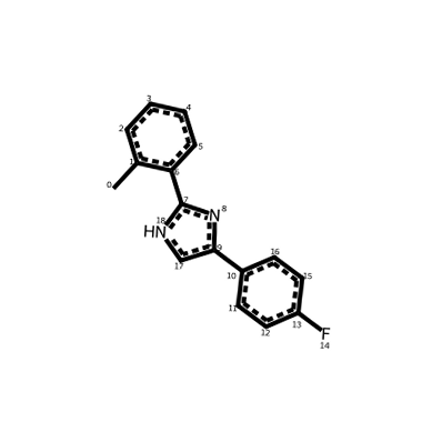 Cc1ccccc1-c1nc(-c2ccc(F)cc2)c[nH]1